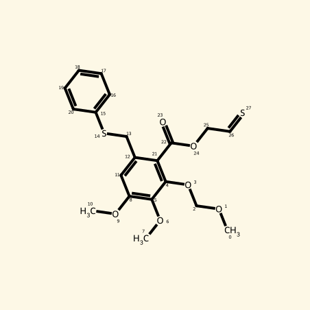 COCOc1c(OC)c(OC)cc(CSc2ccccc2)c1C(=O)OCC=S